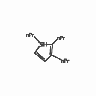 CCCC1=C(CCC)[SiH](CCC)C=C1